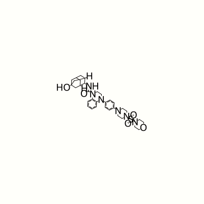 O=C(NC1[C@@H]2CC3C[C@H]1CC(O)(C3)C2)N1CCN(c2ccc(N3CCN(S(=O)(=O)N4CCOCC4)CC3)cc2)c2ccccc21